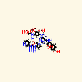 O=C(CO)N[C@H]1C[C@@H](n2cnc3c(NC(CO)Cc4ccc(O)cc4)nc(N4CCC(NC(=O)Nc5cccnc5)C4)nc32)[C@H](O)[C@@H]1O